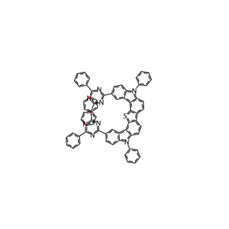 c1ccc(-c2nc(-c3ccccc3)nc(-c3ccc4c(c3)c3c5sc6c(ccc7c6c6cc(-c8nc(-c9ccccc9)nc(-c9ccccc9)n8)ccc6n7-c6ccccc6)c5ccc3n4-c3ccccc3)n2)cc1